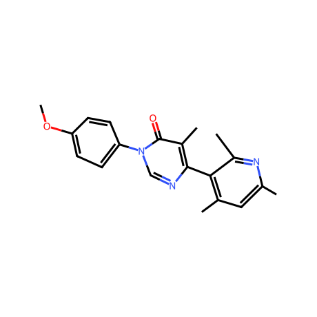 COc1ccc(-n2cnc(-c3c(C)cc(C)nc3C)c(C)c2=O)cc1